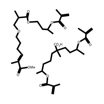 C=C(C)C(=O)OC(C)CCCC(C)(CCC(C)OC(=O)C(=C)C)C(=O)O.C=C(C)C(=O)OC(C)CCOC(=O)C(C)COCCCC=C(C)C(=O)OC